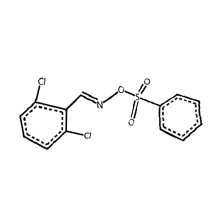 O=S(=O)(ON=Cc1c(Cl)cccc1Cl)c1ccccc1